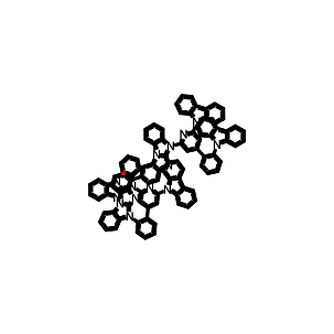 c1ccc(-n2c3ccccc3c3ccccc32)c(-c2cc(-n3c4ccccc4c4ccccc43)nc(-n3c4ccccc4n4c5cc(-c6cccc7c6nc6n(-c8ccccc8-c8cc(-n9c%10ccccc%10c%10ccccc%109)nc(-n9c%10ccccc%10n%10c%11ccccc%11nc9%10)c8)c8ccccc8n76)ccc5nc34)c2)c1